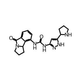 O=C(Nc1cc(C2CCCN2)[nH]n1)Nc1cccc2c1C1CCCN1C2=O